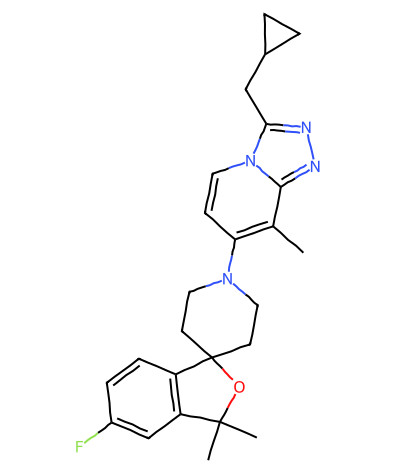 Cc1c(N2CCC3(CC2)OC(C)(C)c2cc(F)ccc23)ccn2c(CC3CC3)nnc12